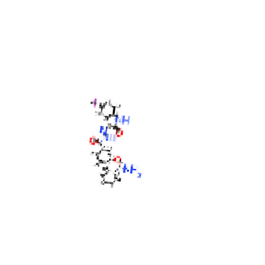 NC(=O)c1ccccc1-c1ccc(C(=O)NN=C2C(=O)Nc3ccc(I)cc32)cc1